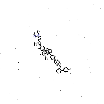 C=C/C=C(\C=C/C)SCCNc1ccc(S(=O)(=O)NC(=O)c2ccc(N3CCN(CC4=CCCC=C4c4ccc(C)cc4)CC3)cc2)cc1C